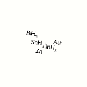 [Au].[BiH3].[InH3].[SnH2].[Zn]